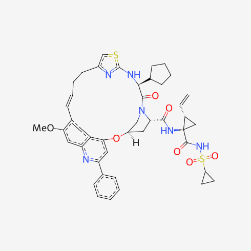 C=C[C@@H]1C[C@]1(NC(=O)[C@@H]1C[C@@H]2CN1C(=O)[C@H](C1CCCC1)Nc1nc(cs1)CC/C=C/c1cc3c(cc(-c4ccccc4)nc3cc1OC)O2)C(=O)NS(=O)(=O)C1CC1